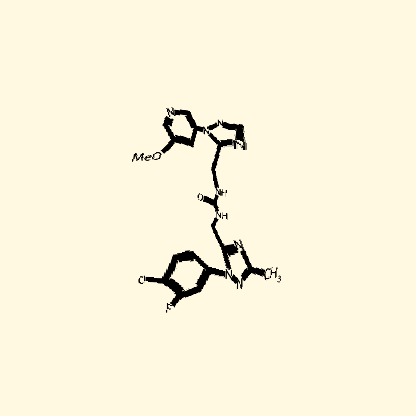 COc1cncc(-n2ncnc2CNC(=O)NCc2nc(C)nn2-c2ccc(Cl)c(F)c2)c1